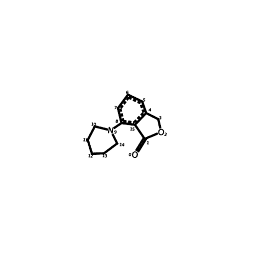 O=C1OCc2cccc(N3CCCCC3)c21